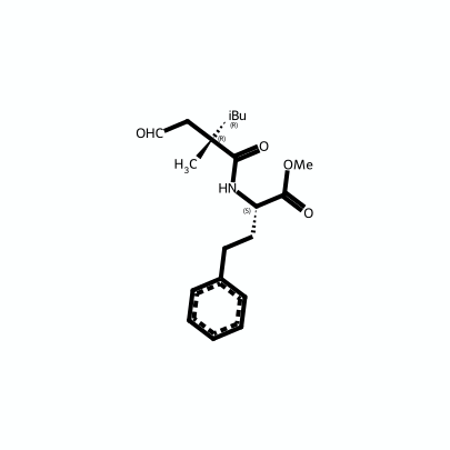 CC[C@@H](C)[C@@](C)(CC=O)C(=O)N[C@@H](CCc1ccccc1)C(=O)OC